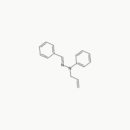 C=CCN(/N=C/c1ccccc1)c1ccccc1